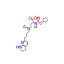 O=C(NC(CCN(CCCCc1ccc2c(n1)NCCC2)C1CC1)C(=O)O)OC1CCCC1